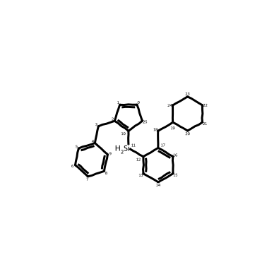 C1=CC(Cc2ccccc2)=C([SiH2]c2ccccc2CC2CCCCC2)C1